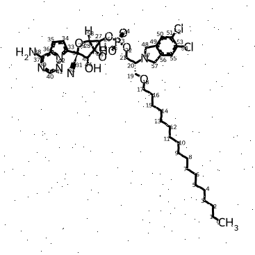 CCCCCCCCCCCCCCCCCCOC[C@H](COP(=O)(O)OC1[C@H]2O[C@@](C#N)(c3ccc4c(N)ncnn34)[C@H](O)[C@@]12O)N1Cc2cc(Cl)c(Cl)cc2C1